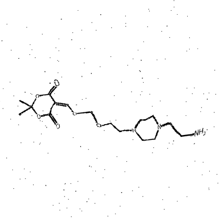 CC1(C)OC(=O)C(=COCOCCN2CCN(CCN)CC2)C(=O)O1